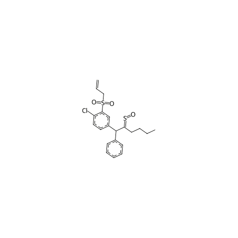 C=CCS(=O)(=O)c1cc(C(C(CCCC)=S=O)c2ccccc2)ccc1Cl